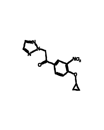 O=C(Cn1nccn1)c1ccc(OC2CC2)c([N+](=O)[O-])c1